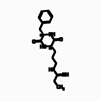 CCC(=N)NCCC[C@@H]1NC(=O)[C@H](Cc2ccccc2)NC1=O